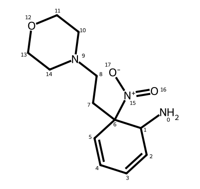 NC1C=CC=CC1(CCN1CCOCC1)[N+](=O)[O-]